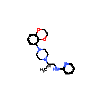 C[C@@H](CNc1ccccn1)N1CCN(c2cccc3c2OCCO3)CC1